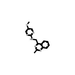 COc1cnc(NCc2nc(C)nc3ccccc23)nc1